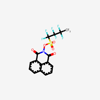 O=C1c2cccc3cccc(c23)C(=O)N1OS(=O)(=O)C(F)(F)C(F)(F)C(F)(F)C(F)(F)F